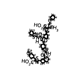 CCOc1ccc(-c2sc(-c3ccc4c(c3)N(C(=O)Nc3nc5cc(C6CN(C(=O)Nc7nc8ccccc8s7)c7cc(-c8nc(C(=O)O)c(N(C)CCOc9ccccc9)s8)ccc7O6)ccc5s3)CCC4)nc2C(=O)O)cc1